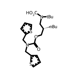 CCCC[C@H](COC(=O)N(Cc1cccs1)Cc1cccs1)CN(C(=O)O)C(C)(C)C